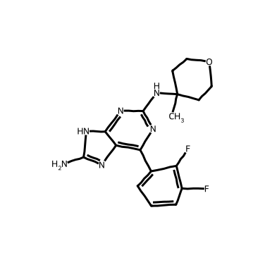 CC1(Nc2nc(-c3cccc(F)c3F)c3nc(N)[nH]c3n2)CCOCC1